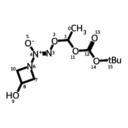 CC(O/N=[N+](\[O-])N1CC(O)C1)OC(=O)OC(C)(C)C